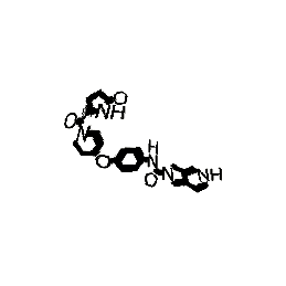 O=C1CC[C@H](C(=O)N2CCC(Oc3ccc(NC(=O)N4C=C5C=CNC=C5C4)cc3)CC2)N1